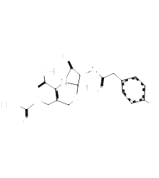 CC(=O)OCC1=C(C(=O)O)N2C(=O)[C@@H](NC(=O)Cc3ccc(Cl)cc3)[C@H]2SC1